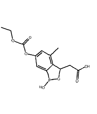 CCOC(=O)Oc1cc(C)c2c(c1)B(O)OC2CC(=O)O